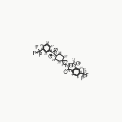 CC1(CNC(=O)c2ccc(C(F)(F)F)cc2S(C)(=O)=O)CCC(S(=O)(=O)c2cccc(C(F)(F)F)c2)CC1